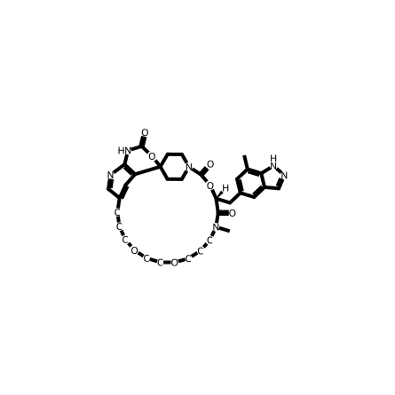 Cc1cc(C[C@H]2OC(=O)N3CCC4(CC3)OC(=O)Nc3ncc(cc34)CCCOCCOCCCN(C)C2=O)cc2cn[nH]c12